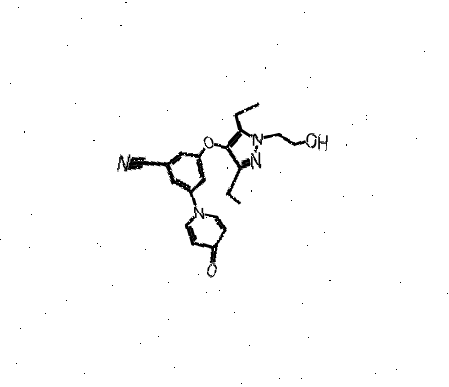 CCc1nn(CCO)c(CC)c1Oc1cc(C#N)cc(-n2ccc(=O)cc2)c1